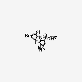 O=C(NCC1CC1)c1cc2snnc2c(F)c1Nc1ccc(Br)cc1Cl